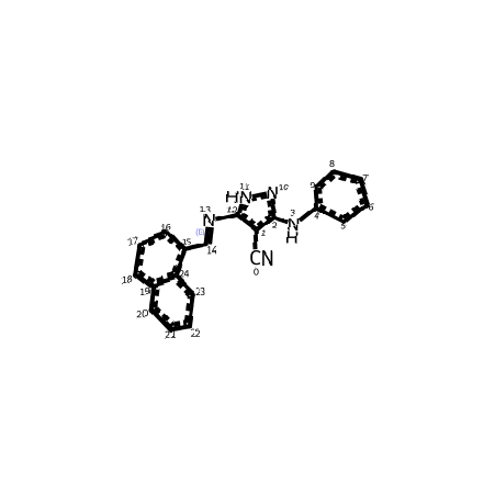 N#Cc1c(Nc2ccccc2)n[nH]c1/N=C/c1cccc2ccccc12